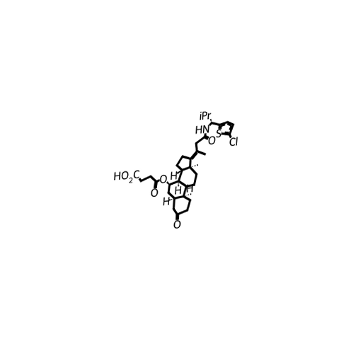 C/C(CC(=O)N[C@@H](c1ccc(Cl)s1)C(C)C)=C1/CC[C@H]2[C@@H]3[C@H](OC(=O)CCC(=O)O)C[C@@H]4CC(=O)CC[C@]4(C)[C@H]3CC[C@]12C